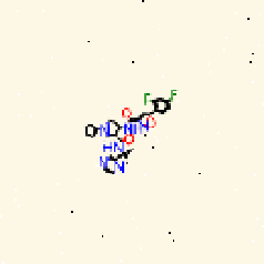 O=C(N[C@H]1CCN(C2CCCC2)C[C@@H]1C(=O)NC1(c2cnccn2)CC1)c1cc(-c2ccc(F)cc2F)on1